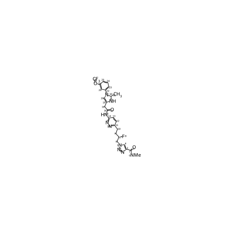 CNC(=O)c1cn(C[C@H](F)CCc2ccc(NC(=O)CC3=CN(c4cccc(OC(F)(F)F)c4)C(C)N3)nn2)nn1